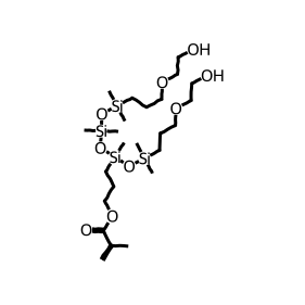 C=C(C)C(=O)OCCC[Si](C)(O[Si](C)(C)CCCOCCO)O[Si](C)(C)O[Si](C)(C)CCCOCCO